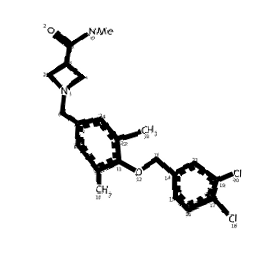 CNC(=O)C1CN(Cc2cc(C)c(OCc3ccc(Cl)c(Cl)c3)c(C)c2)C1